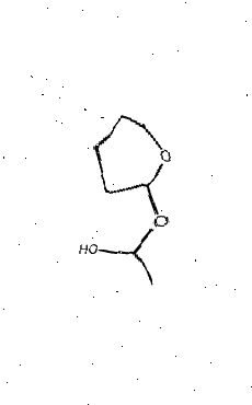 CC(O)OC1CCCCO1